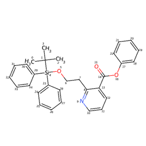 CC(C)(C)[Si](OCCc1ncccc1C(=O)Oc1ccccc1)(c1ccccc1)c1ccccc1